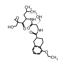 CCOc1cccc2c1CCC(C(=O)N[C@@H](CO)C(=O)NC(CC(C)C)C(=O)C1(CO)CO1)C2